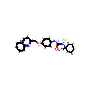 N#CC1(N(S)C(=O)Nc2ccc(OCc3ccc4ccccc4n3)cc2)CCCCC1